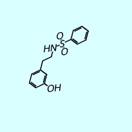 O=S(=O)(NCCc1cccc(O)c1)c1ccccc1